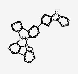 O=P12B3c4ccc(-c5ccc6oc7ccccc7c6c5)cc4-c4ccccc4N3c3cccc(c31)-c1ccccc12